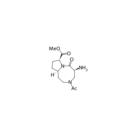 COC(=O)[C@@H]1CC[C@@H]2CCN(C(C)=O)C[C@H](N)C(=O)N21